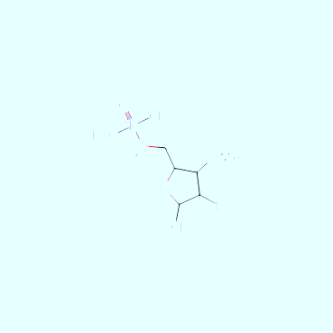 COC1C(COP(C)(C)=O)OC(C)C1F